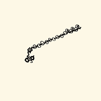 CCC(COCC(COCC(COCCOCCOCCOCCOCCOCCOCCOCCOCCN1CCN(CCCN2c3ccccc3Sc3ccc(C)cc32)CC1)OC)OC)OC